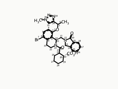 CC(Oc1ccc(Br)c2c1[C@@H](CN1Cc3ccccc3C1=O)N(C(=O)C1CCCC[C@H]1C(=O)O)CC2)c1cn(C)nn1